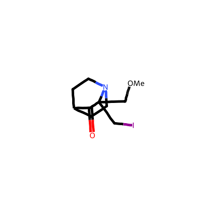 COCC1(CI)C(=O)C2CCN1CC2